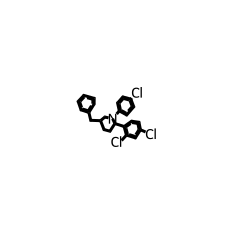 Clc1ccc(N2CC(Cc3ccccc3)CCC2c2ccc(Cl)cc2Cl)cc1